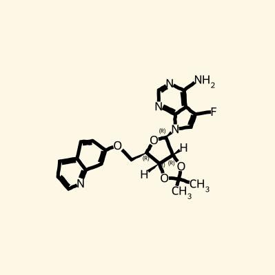 CC1(C)O[C@@H]2[C@H](O1)[C@@H](COc1ccc3cccnc3c1)O[C@H]2n1cc(F)c2c(N)ncnc21